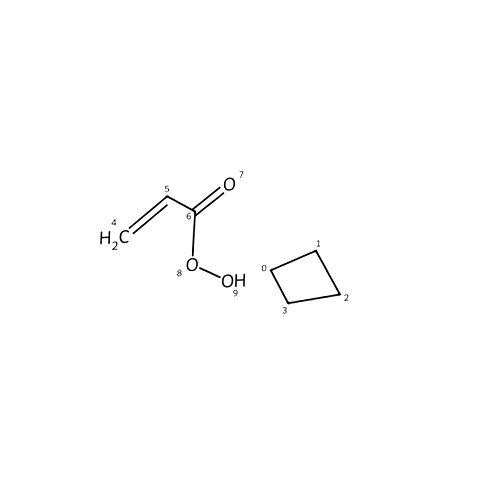 C1CCC1.C=CC(=O)OO